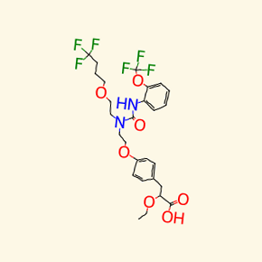 CCOC(Cc1ccc(OCCN(CCOCCCC(F)(F)F)C(=O)Nc2ccccc2OC(F)(F)F)cc1)C(=O)O